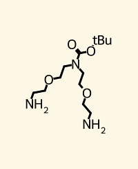 CC(C)(C)OC(=O)N(CCOCCN)CCOCCN